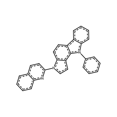 c1ccc(-n2c3ccccc3c3ccc4c(ccn4-c4ccc5ccccc5n4)c32)cc1